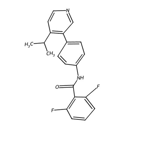 CC(C)c1ccncc1-c1ccc(NC(=O)c2c(F)cccc2F)cc1